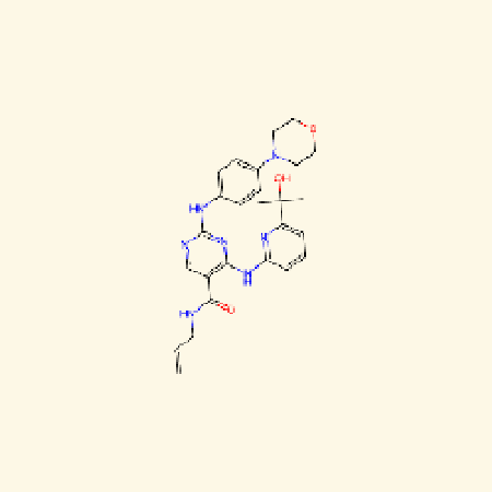 C=CCNC(=O)c1cnc(Nc2ccc(N3CCOCC3)cc2)nc1Nc1cccc(C(C)(C)O)n1